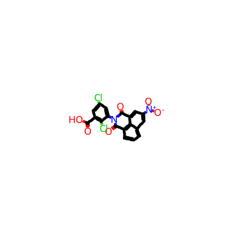 O=C(O)c1cc(Cl)cc(N2C(=O)c3cccc4cc([N+](=O)[O-])cc(c34)C2=O)c1Cl